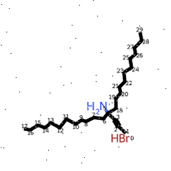 Br.CC#CC(N)(CCCCCCCCCCCC)CCCCCCCCCCCC